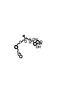 O=C(CCOCCc1cccc(CCN2CC3CCCC3C2)c1)N(CCNCC(O)c1ccc(O)c2[nH]c(=O)ccc12)C1CC1